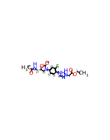 CCOC(=O)CN/N=C\Nc1ccc(N2C[C@H](CNC(C)=O)OC2=O)cc1F